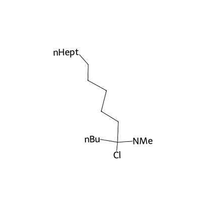 CCCCCCCCCCCCC(Cl)(CCCC)NC